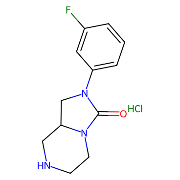 Cl.O=C1N(c2cccc(F)c2)CC2CNCCN12